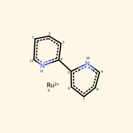 [Ru+2].c1ccc(-c2ccccn2)nc1